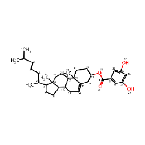 CC(C)CCCC(C)C1CCC2C3CC=C4CC(OC(=O)c5cc(O)cc(O)c5)CCC4(C)C3CCC12C